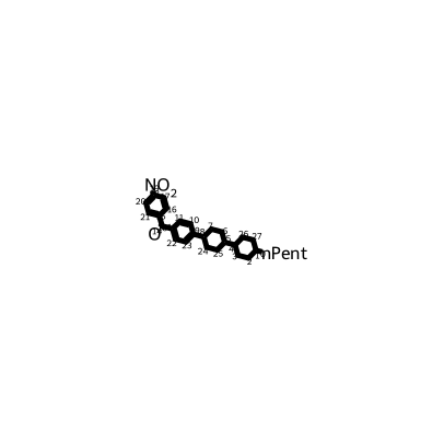 CCCCCC1CCC(C2CCC(c3ccc(C(=O)c4ccc([N+](=O)[O-])cc4)cc3)CC2)CC1